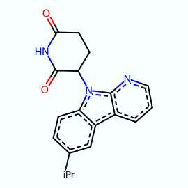 CC(C)c1ccc2c(c1)c1cccnc1n2C1CCC(=O)NC1=O